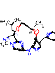 C=C(C)C/C1=C(\C=N/C)c2nccc(n2)Nc2cc(c(-c3ccccn3)cn2)O[C@@H](C)CCO1